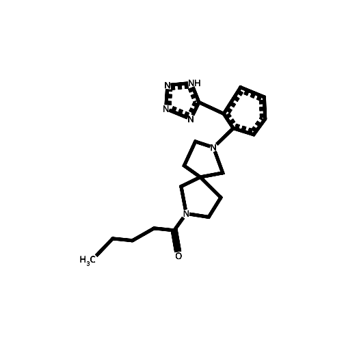 CCCCC(=O)N1CCC2(CCN(c3ccccc3-c3nnn[nH]3)C2)C1